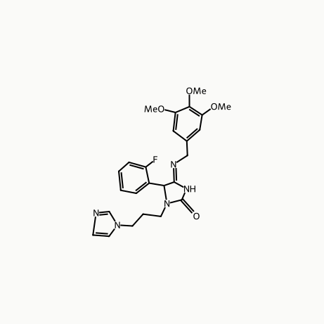 COc1cc(CN=C2NC(=O)N(CCCn3ccnc3)C2c2ccccc2F)cc(OC)c1OC